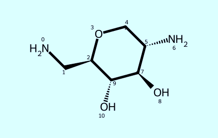 NC[C@H]1O[CH][C@H](N)[C@@H](O)[C@@H]1O